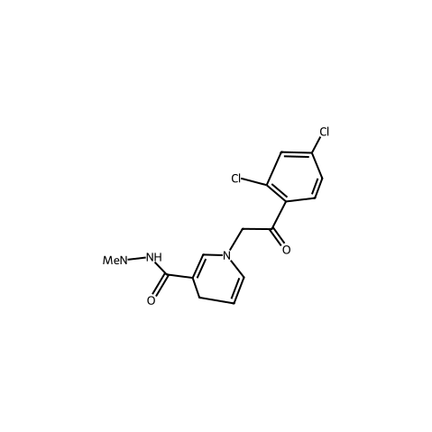 CNNC(=O)C1=CN(CC(=O)c2ccc(Cl)cc2Cl)C=CC1